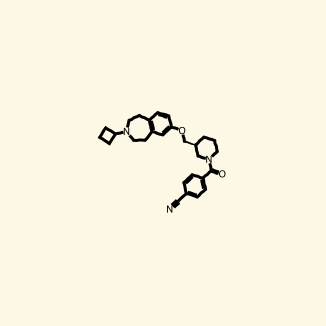 N#Cc1ccc(C(=O)N2CCC[C@H](COc3ccc4c(c3)CCN(C3CCC3)CC4)C2)cc1